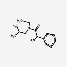 CCN(CC(C)C)C(=O)C(N)c1ccccc1